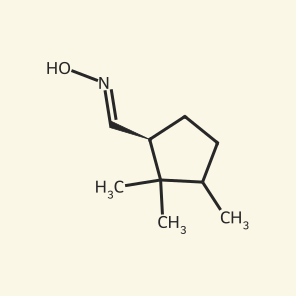 CC1CC[C@H](/C=N/O)C1(C)C